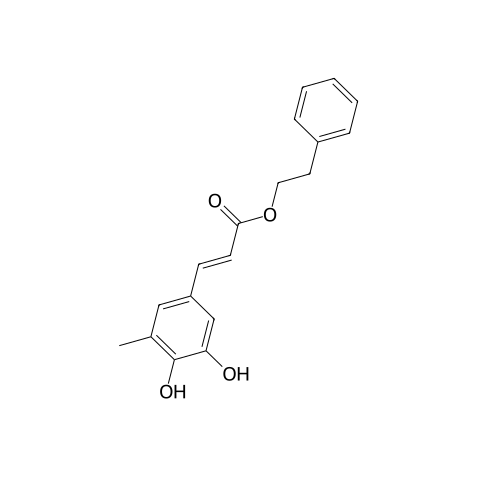 Cc1cc(/C=C/C(=O)OCCc2ccccc2)cc(O)c1O